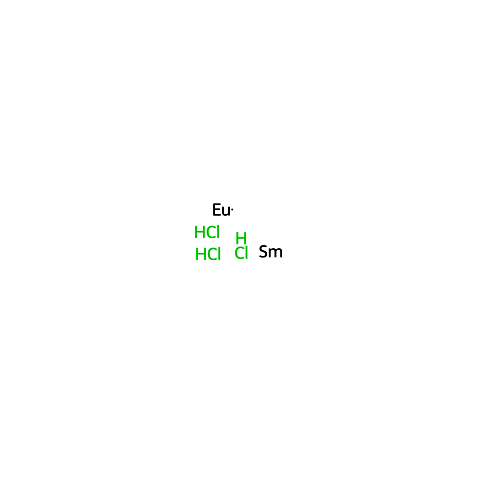 Cl.Cl.Cl.[Eu].[Sm]